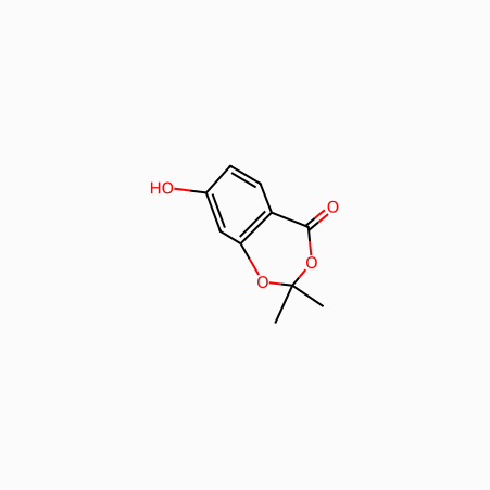 CC1(C)OC(=O)c2ccc(O)cc2O1